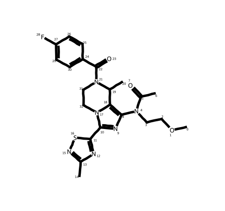 COCCN(C(C)=O)c1nc(-c2nc(C)ns2)n2c1C(C)N(C(=O)c1ccc(F)cc1)CC2